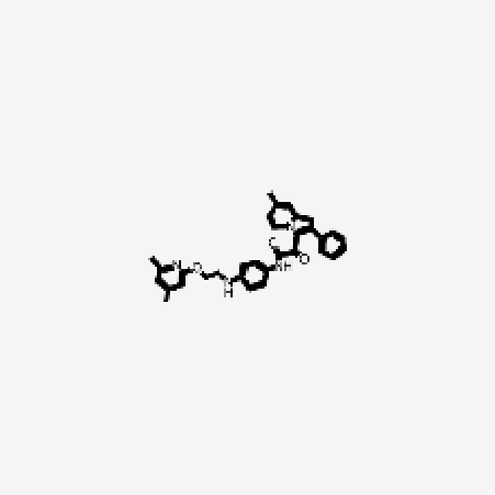 Cc1cc(C)nc(OCCNc2ccc(NC(=O)C(=O)c3c(-c4ccccc4)cc4cc(C)ccn34)cc2)c1